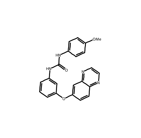 COc1ccc(NC(=O)Nc2cccc(Oc3ccc4nccnc4c3)c2)cc1